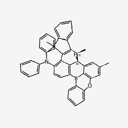 Cc1cc2c3c(c1)[C@@H]1c4c(ccc(N(c5ccccc5)c5ccccc5)c4C4=C(c5ccccc5C4(C)C)[C@H]1C)B3c1ccccc1O2